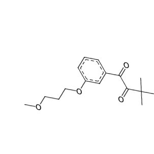 COCCCOc1cccc(C(=O)C(=O)C(C)(C)C)c1